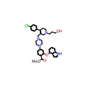 COC(=O)c1ccc(N2CCN(CC3=C(c4ccc(Cl)cc4)CCN(CCCO)C3)CC2)cc1Oc1cccc2[nH]ccc12